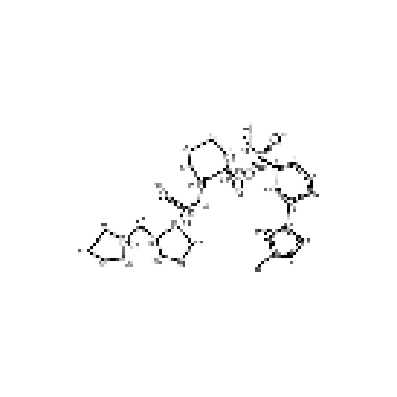 Cc1ccc(-c2cccc(S(=O)(=O)N[C@H]3CCCN(CC(=O)N4CCC[C@H]4CN4CCCC4)C3=O)c2)s1